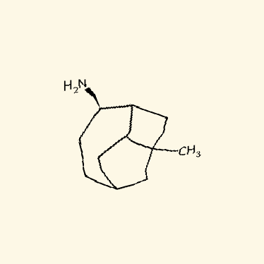 CC12CC3CC[C@@H](N)C(C1)C2C3